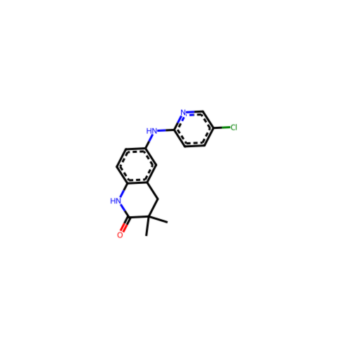 CC1(C)Cc2cc(Nc3ccc(Cl)cn3)ccc2NC1=O